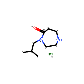 CC(C)CN1CCNCCC1=O.Cl